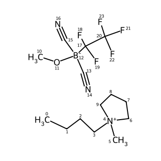 CCCC[N+]1(C)CCCC1.CO[B-](C#N)(C#N)C(F)(F)C(F)(F)F